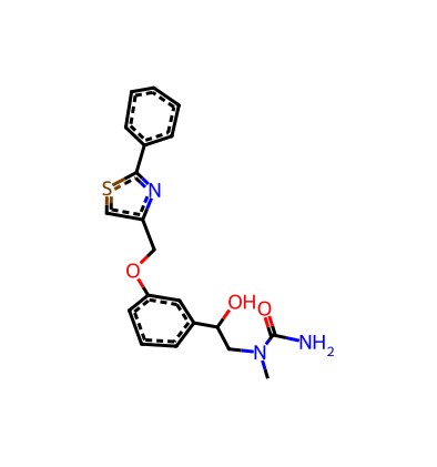 CN(CC(O)c1cccc(OCc2csc(-c3ccccc3)n2)c1)C(N)=O